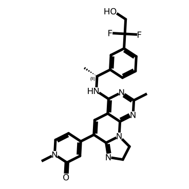 Cc1nc(N[C@H](C)c2cccc(C(F)(F)CO)c2)c2c(n1)N1CCN=C1C(c1ccn(C)c(=O)c1)=C2